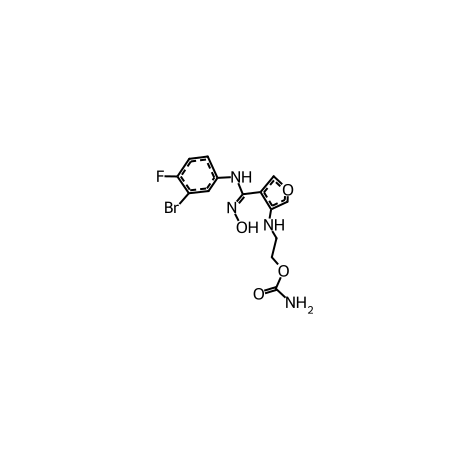 NC(=O)OCCNc1cocc1C(=NO)Nc1ccc(F)c(Br)c1